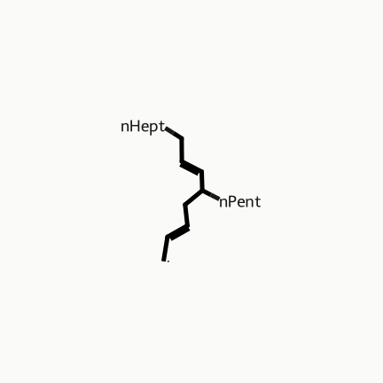 [CH2]C=CCC(C=CCCCCCCCC)CCCCC